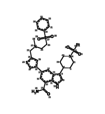 CCS(=O)(=O)N1CCC(c2c[nH]c3c(C(N)=O)cc(-c4csc(CN(C)CCS(=O)(=O)c5ccccc5)c4)cc23)CC1